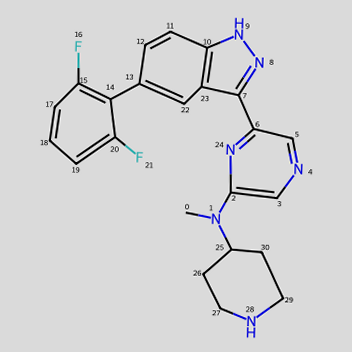 CN(c1cncc(-c2n[nH]c3ccc(-c4c(F)cccc4F)cc23)n1)C1CCNCC1